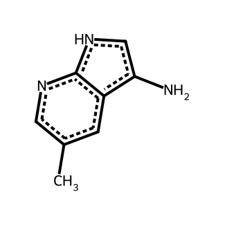 Cc1cnc2[nH]cc(N)c2c1